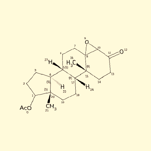 CC(=O)OC1CC[C@H]2[C@@H]3CCC45OC4C(=O)CC[C@]5(C)[C@@H]3CC[C@]12C